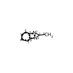 CC1n2c3ccccc3n21